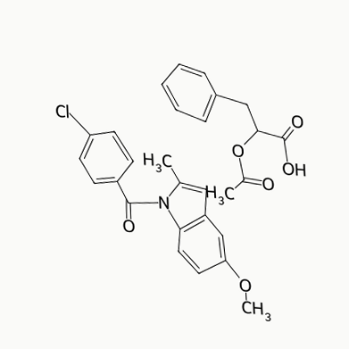 CC(=O)OC(Cc1ccccc1)C(=O)O.COc1ccc2c(c1)cc(C)n2C(=O)c1ccc(Cl)cc1